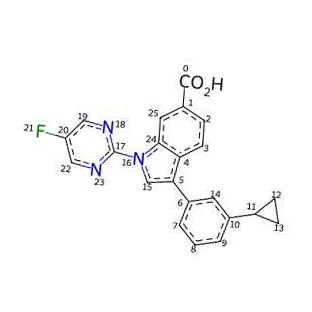 O=C(O)c1ccc2c(-c3cccc(C4CC4)c3)cn(-c3ncc(F)cn3)c2c1